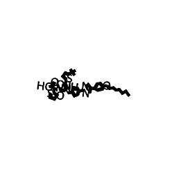 CCCCCCCOc1ccc(-c2cnc(-c3ccc(C[C@H](NC(=O)c4ccc(C(C)(C)C)s4)C(=O)NC(C(=O)O)c4cccs4)cc3)nc2)cc1